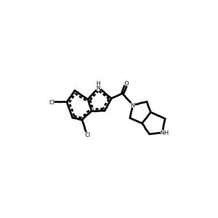 O=C(c1cc2c(Cl)cc(Cl)cc2[nH]1)N1CC2CNCC2C1